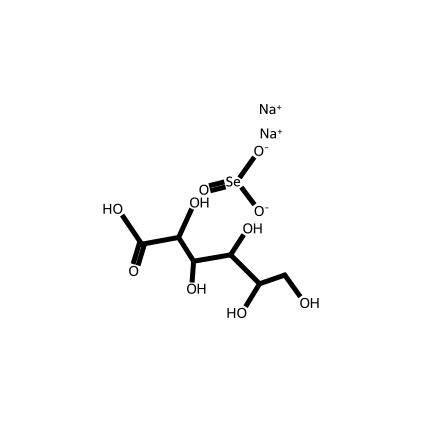 O=C(O)C(O)C(O)C(O)C(O)CO.O=[Se]([O-])[O-].[Na+].[Na+]